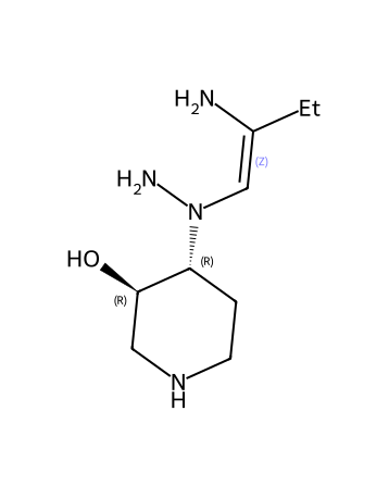 CC/C(N)=C/N(N)[C@@H]1CCNC[C@H]1O